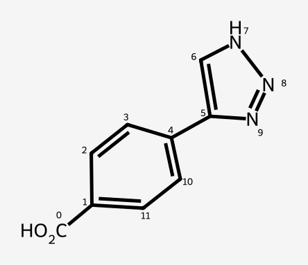 O=C(O)c1ccc(-c2c[nH]nn2)cc1